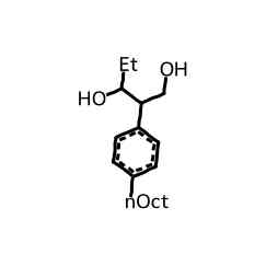 CCCCCCCCc1ccc(C(CO)C(O)CC)cc1